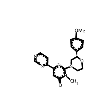 COc1ccc([C@@H]2CN(c3nc(-c4ccncn4)cc(=O)n3C)CCO2)cc1